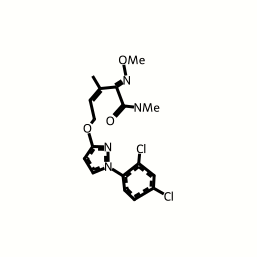 CNC(=O)C(=N/OC)/C(C)=C\COc1ccn(-c2ccc(Cl)cc2Cl)n1